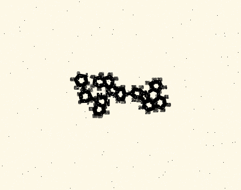 c1ccc(-c2cccc(-c3nc(-n4c5ccc(-c6ccc7c(c6)c6ccccc6n7-c6ccccc6-c6ccccc6)cc5c5ccc6ccccc6c54)nc4ccccc34)c2)cc1